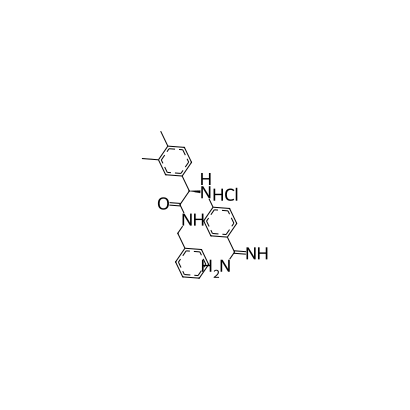 Cc1ccc([C@@H](Nc2ccc(C(=N)N)cc2)C(=O)NCc2ccccc2)cc1C.Cl